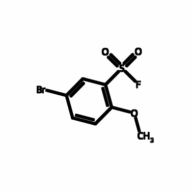 COc1ccc(Br)cc1S(=O)(=O)F